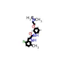 Cc1ccc(F)c2cc(C(=O)Nc3cccc(OCCN(C)C)c3)[nH]c12